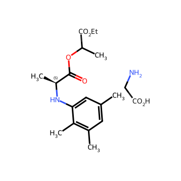 CCOC(=O)C(C)OC(=O)[C@H](C)Nc1cc(C)cc(C)c1C.NCC(=O)O